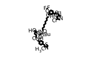 Cc1ncsc1-c1ccc(CNC(=O)C2CC(O)CN2C(=O)[C@@H](NC(=O)CCCCCCCCOc2cc(C(=O)Nc3c(Cl)cncc3Cl)ccc2OC(F)F)C(C)(C)C)cc1